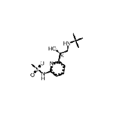 CC(C)(C)NC[C@H](O)c1cccc(NS(C)(=O)=O)n1